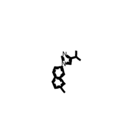 Cc1ccc2ccc(-n3cnc(C(C)C)c3)cc2c1